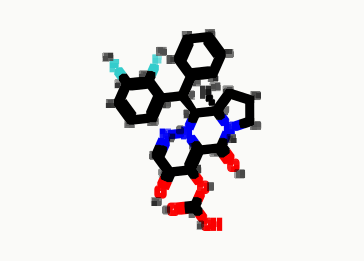 O=C(O)Oc1c2n(ncc1=O)[C@@H](C(c1ccccc1)c1cccc(F)c1F)[C@H]1CCCN1C2=O